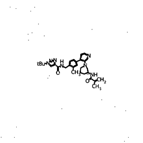 C=C(C)C(=O)N[C@H]1CCCN(c2cnccc2-c2ccc(CNC(=O)c3cn(C(C)(C)C)nn3)c(C)c2)C1